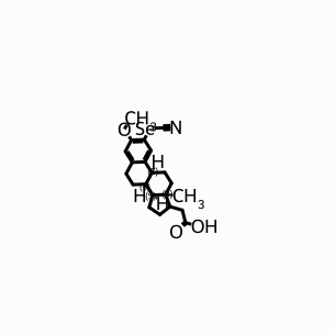 COc1cc2c(cc1[Se]C#N)[C@H]1CC[C@]3(C)C(CC(=O)O)CC[C@H]3[C@@H]1CC2